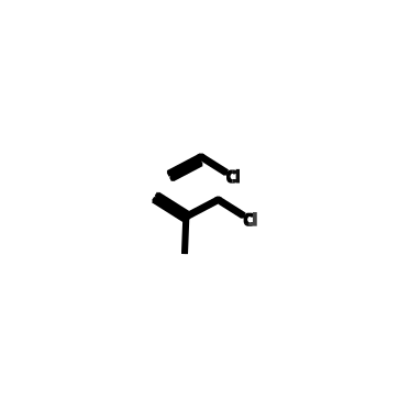 C=C(C)CCl.C=CCl